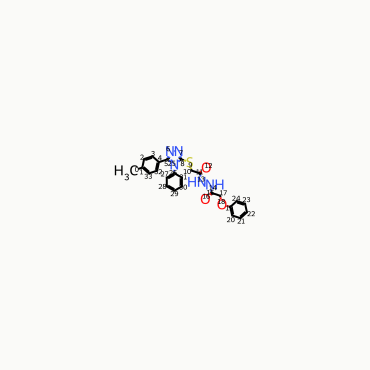 Cc1ccc(-c2nnc(SCC(=O)NNC(=O)COc3ccccc3)n2-c2ccccc2)cc1